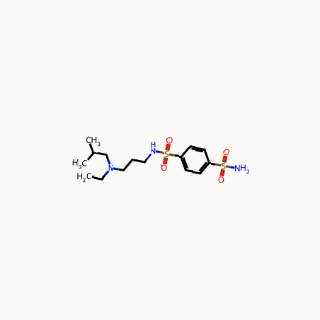 CCN(CCCNS(=O)(=O)c1ccc(S(N)(=O)=O)cc1)CC(C)C